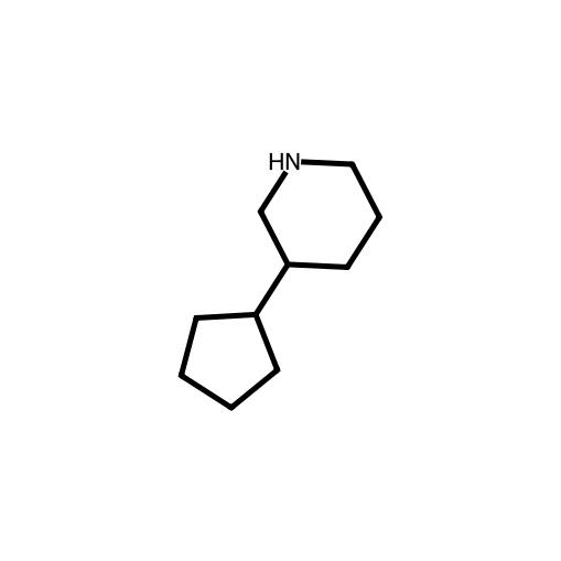 C1CCC(C2CCCNC2)C1